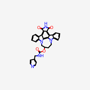 O=C(NCc1ccncc1)OC1CCn2c3ccccc3c3c4c(c5c6ccccc6n(c5c32)C1)C(=O)NC4=O